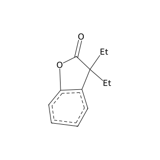 CCC1(CC)C(=O)Oc2ccccc21